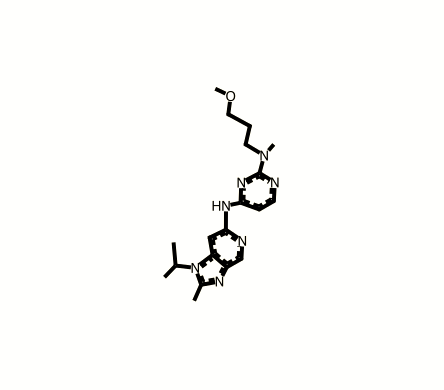 COCCCN(C)c1nccc(Nc2cc3c(cn2)nc(C)n3C(C)C)n1